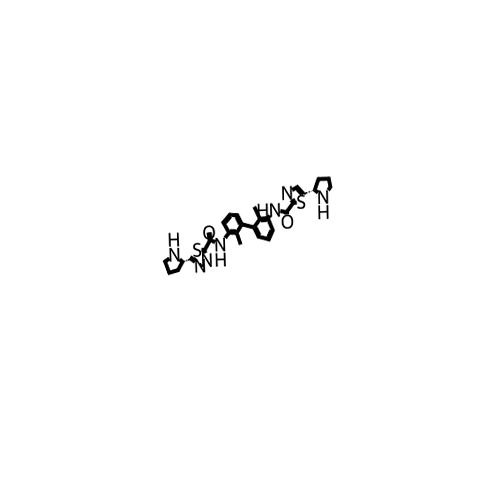 Cc1c(NC(=O)c2ncc([C@@H]3CCCN3)s2)cccc1-c1cccc(NC(=O)c2nnc([C@@H]3CCCN3)s2)c1C